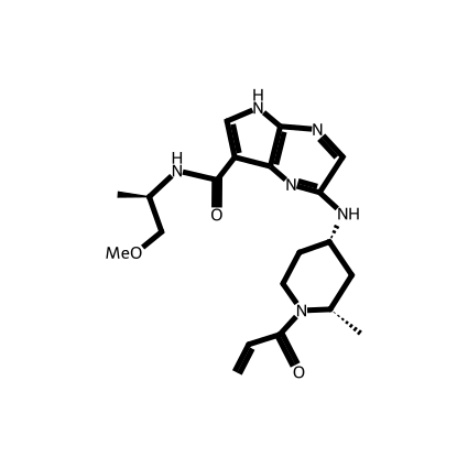 C=CC(=O)N1CC[C@H](Nc2cnc3[nH]cc(C(=O)N[C@H](C)COC)c3n2)C[C@@H]1C